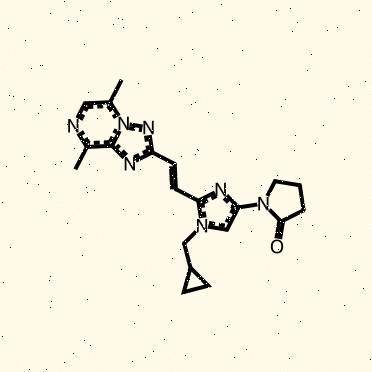 Cc1ncc(C)n2nc(/C=C/c3nc(N4CCCC4=O)cn3CC3CC3)nc12